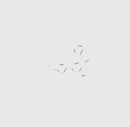 CCOc1ccc(-c2nc(C(=O)O)c3[nH]c(=O)n(-c4ccccc4OC)c3n2)cc1